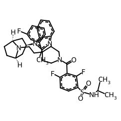 Cc1nc2ccccc2n1[C@H]1C[C@H]2CC[C@@H](C1)N2CCC1(c2cccc(F)c2)CCN(C(=O)c2c(F)ccc(S(=O)(=O)NC(C)C)c2F)CC1